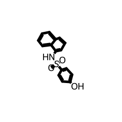 O=S(=O)(Nc1cccc2ccccc12)c1ccc(O)cc1